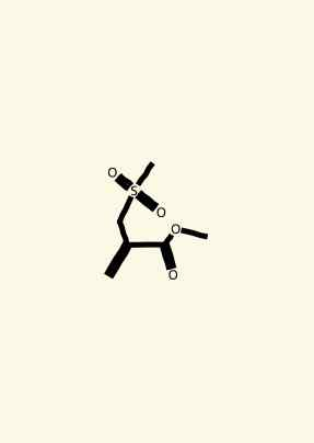 C=C(CS(C)(=O)=O)C(=O)OC